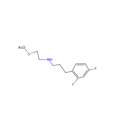 CC(=O)OSCCNCCCc1ccc(F)cc1F